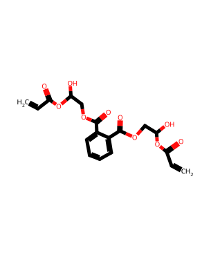 C=CC(=O)OC(O)COC(=O)c1ccccc1C(=O)OCC(O)OC(=O)C=C